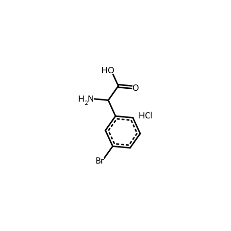 Cl.NC(C(=O)O)c1cccc(Br)c1